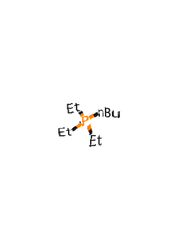 CCCC[P](CC)(CC)CC